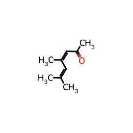 CC(=O)C=C(C)C=C(C)C